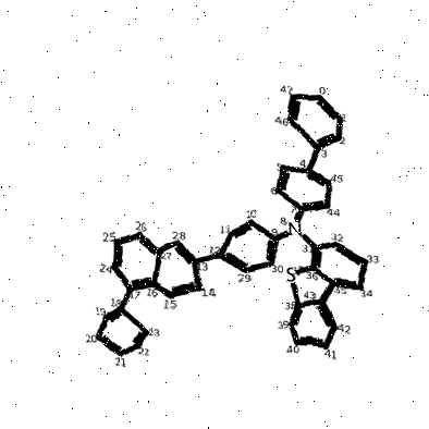 c1ccc(-c2ccc(N(c3ccc(-c4ccc5c(-c6ccccc6)cccc5c4)cc3)c3cccc4c3sc3ccccc34)cc2)cc1